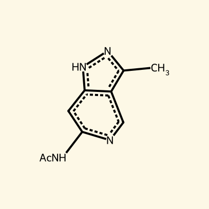 CC(=O)Nc1cc2[nH]nc(C)c2cn1